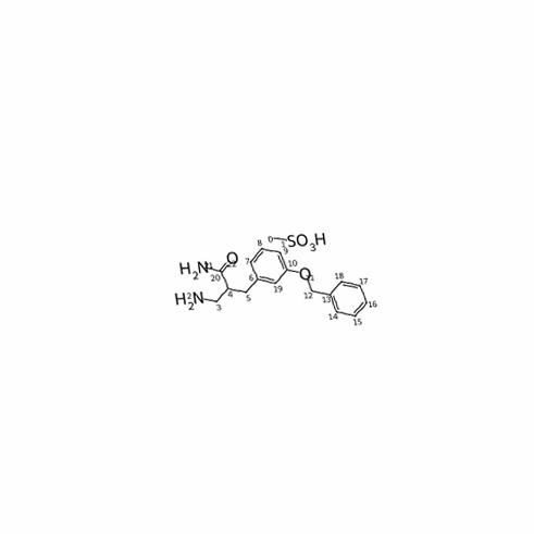 CS(=O)(=O)O.NCC(Cc1cccc(OCc2ccccc2)c1)C(N)=O